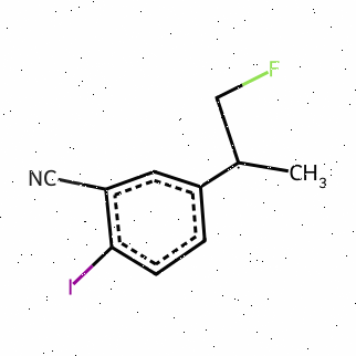 C[C](CF)c1ccc(I)c(C#N)c1